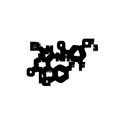 CCc1nc(NC(=O)c2cc(F)cc(C(F)(F)F)c2)c2n1CC(=O)N[C@H]2c1cc(F)ccc1Cl